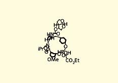 CCOC(=O)[C@H](C)O[PH]1(O)COc2ccc(cc2)C[C@H](NC(=O)O[C@H]2CO[C@H]3OCC[C@H]32)[C@H](O)CN(CC(C)C)S(=O)(=O)c2ccc(OC)c(c2)O1